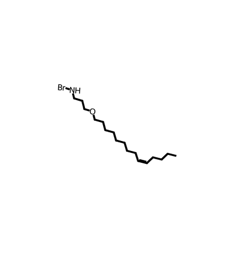 CCCC/C=C\CCCCCCCCOCCCNBr